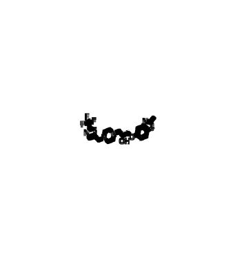 Cc1nc2cc(OC[C@H](O)CN3CCN(Cc4cnc(C(F)(F)F)s4)CC3)ccc2s1